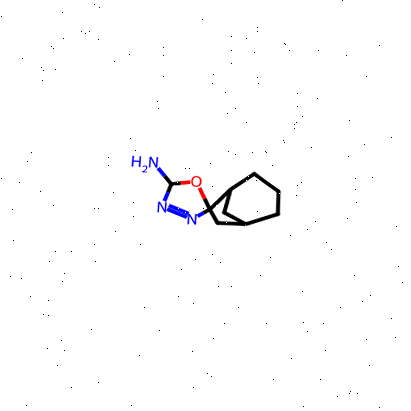 NC1N=NC2(CC3CCCC2C3)O1